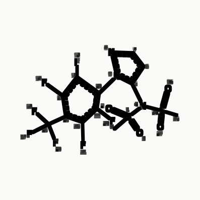 CS(=O)(=O)N(c1ccnn1-c1c(F)c(F)c(C(F)(F)F)c(F)c1F)S(C)(=O)=O